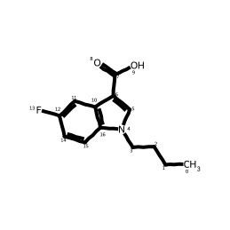 CCCCn1cc(C(=O)O)c2cc(F)ccc21